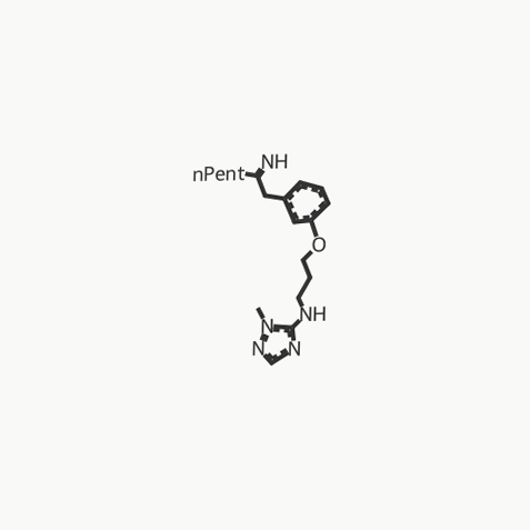 CCCCCC(=N)Cc1cccc(OCCCNc2ncnn2C)c1